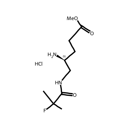 COC(=O)CC[C@H](N)CNC(=O)C(C)(C)F.Cl